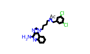 CC(=O)N(CCCCn1cnc2c(N)nc3ccccc3c21)Cc1cc(Cl)cc(Cl)c1